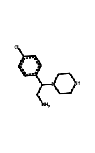 NCC(c1ccc(Cl)cc1)N1CCNCC1